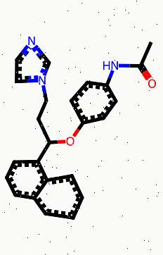 CC(=O)Nc1ccc(OC(CCn2ccnc2)c2cccc3ccccc23)cc1